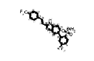 NS(=O)(=O)c1ccc(C(F)(F)F)cc1-c1ccc2[nH]c(C=Cc3ccc(C(F)(F)F)cc3)nc2c1